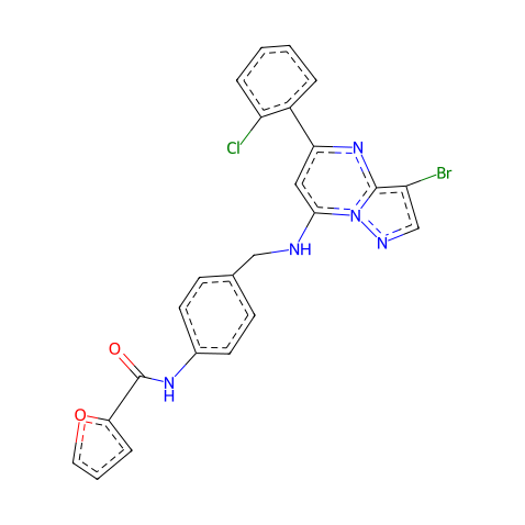 O=C(Nc1ccc(CNc2cc(-c3ccccc3Cl)nc3c(Br)cnn23)cc1)c1ccco1